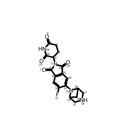 O=C1CCC(N2C(=O)c3cc(F)c(N4C5CNCC4C5)cc3C2=O)C(=O)N1